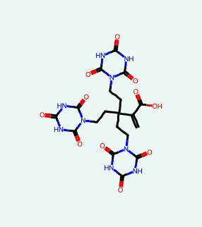 C=C(C(=O)O)C(CCn1c(=O)[nH]c(=O)[nH]c1=O)(CCn1c(=O)[nH]c(=O)[nH]c1=O)CCn1c(=O)[nH]c(=O)[nH]c1=O